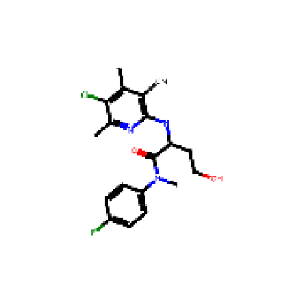 Cc1nc(NC(CCO)C(=O)N(C)c2ccc(F)cc2)c(C#N)c(C)c1Cl